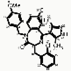 COc1ccc(CN2C(=O)C(Cc3ccccc3Cl)N=C(c3c(C)n[nH]c3C)c3cc(Cl)ccc32)cc1